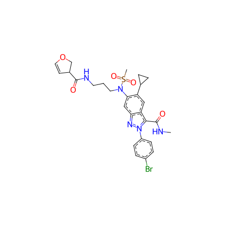 CNC(=O)c1c2cc(C3CC3)c(N(CCCNC(=O)C3C=COC3)S(C)(=O)=O)cc2nn1-c1ccc(Br)cc1